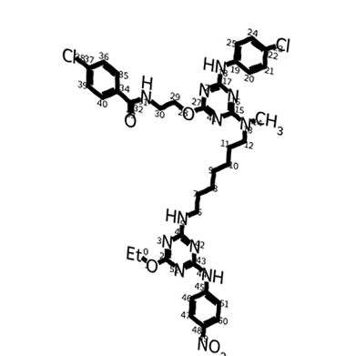 CCOc1nc(NCCCCCCCN(C)c2nc(Nc3ccc(Cl)cc3)nc(OCCNC(=O)c3ccc(Cl)cc3)n2)nc(Nc2ccc([N+](=O)[O-])cc2)n1